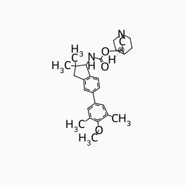 COc1c(C)cc(-c2ccc3c(c2)CC(C)(C)C3NC(=O)O[C@H]2CN3CCC2CC3)cc1C